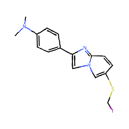 CN(C)c1ccc(-c2cn3cc(SCI)ccc3n2)cc1